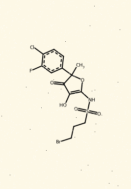 CC1(c2ccc(Cl)c(F)c2)OC(NS(=O)(=O)CCCBr)=C(O)C1=O